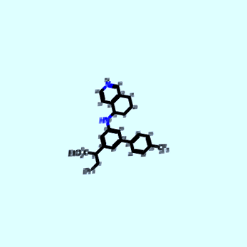 CCOC(=O)C(CC(C)C)c1cc(NC2CCCc3cnccc32)cc(-c2ccc(C(F)(F)F)cc2)c1